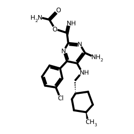 C[C@H]1CC[C@H](CNc2c(N)nc(C(=N)OC(N)=O)nc2-c2cccc(Cl)c2)CC1